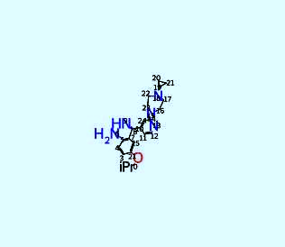 CC(C)Oc1ccc(N)c(C(=N)c2ccnc(N3CCN(C4CC4)CC3)c2)c1